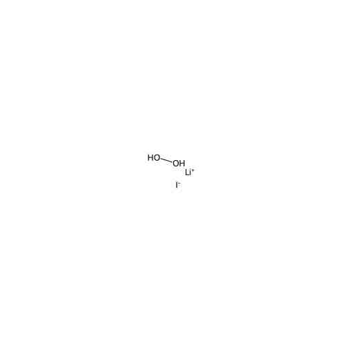 OO.[I-].[Li+]